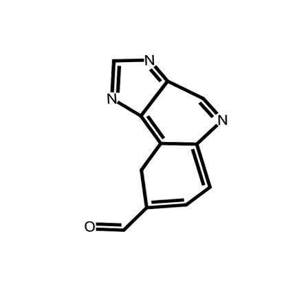 O=CC1=CC=c2ncc3c(c2C1)N=CN=3